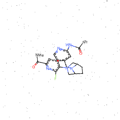 CCCC(=O)Nc1cc(CN2C3CCC2CN(c2ccc(C(=O)NC)nc2F)C3)ccn1